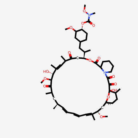 COC1C(=O)C(C)C[C@H](C)/C=C/C=C/C=C(\C)[C@@H](OC)C[C@@H]2CCC(C)C(O)(O2)C(=O)C(=O)N2CCCCC2C(=O)O[C@H](C(C)CC2CC[C@@H](OC(=O)N(C)OC)C(OC)C2)CC(=O)C(C)/C=C(\C)[C@H]1O